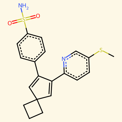 CSc1ccc(C2=CC3(C=C2c2ccc(S(N)(=O)=O)cc2)CCC3)nc1